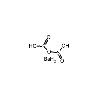 O=S(O)OS(=O)O.[BaH2]